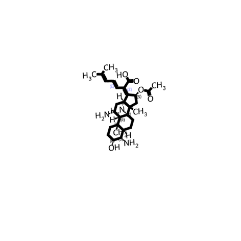 CC(=O)O[C@H]1C[C@@]2(C)[C@@H](C[C@@H](N)[C@H]3[C@@]4(C)CC[C@@H](O)[C@@H](N)[C@@H]4CC[C@@]32N)/C1=C(\C=C\C=C(C)C)C(=O)O